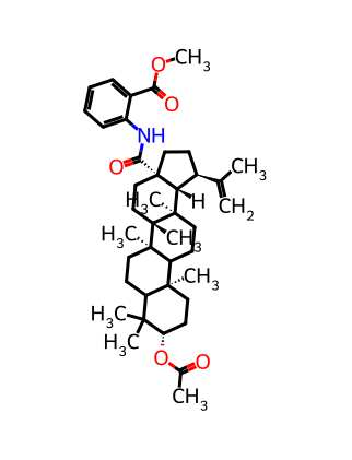 C=C(C)[C@@H]1CC[C@]2(C(=O)Nc3ccccc3C(=O)OC)CC[C@@]3(C)[C@]4(C)CCC5C(C)(C)[C@@H](OC(C)=O)CC[C@]5(C)C4CC[C@]3(C)[C@@H]12